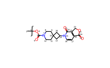 CC(C)(C)OC(=O)N1CCC2(CC1)CC(n1ccc3c(c1=O)COC3=O)C2